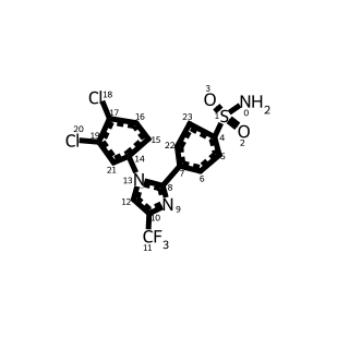 NS(=O)(=O)c1ccc(-c2nc(C(F)(F)F)cn2-c2ccc(Cl)c(Cl)c2)cc1